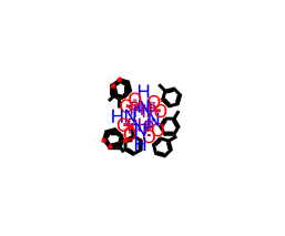 Cc1ccccc1OP1(Oc2ccccc2C)=N[PH](Oc2ccccc2C)(Oc2ccccc2C)N[PH](Oc2ccccc2C)(Oc2ccccc2C)N[PH](Oc2ccccc2C)(Oc2ccccc2C)N1